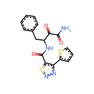 NC(=O)C(=O)C(Cc1ccccc1)NC(=O)c1snnc1-c1cccs1